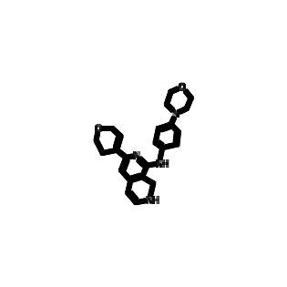 C1=Cc2cc(C3=CCOCC3)nc(Nc3ccc(N4CCOCC4)cc3)c2CN1